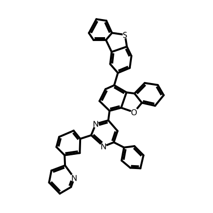 c1ccc(-c2cc(-c3ccc(-c4ccc5sc6ccccc6c5c4)c4c3oc3ccccc34)nc(-c3cccc(-c4ccccn4)c3)n2)cc1